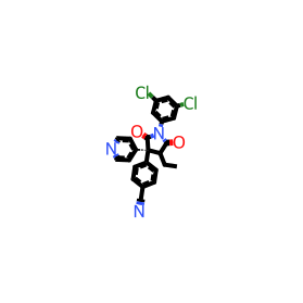 CCC1C(=O)N(c2cc(Cl)cc(Cl)c2)C(=O)[C@]1(c1ccncc1)c1ccc(C#N)cc1